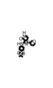 CC(C)S(=O)(=O)c1ccc(Nc2nn([C]3CCCOC3)c3cc[nH]c(=O)c23)cc1